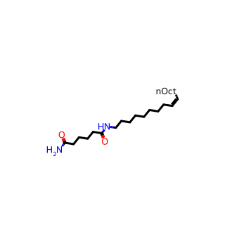 CCCCCCCC/C=C\CCCCCCCCNC(=O)CCCCC(N)=O